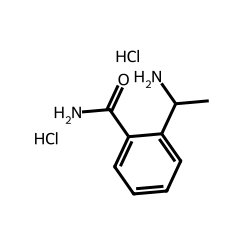 CC(N)c1ccccc1C(N)=O.Cl.Cl